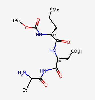 CCC(N)C(=O)NC(=O)[C@H](CC(=O)O)NC(=O)[C@H](CCSC)NC(=O)OC(C)(C)C